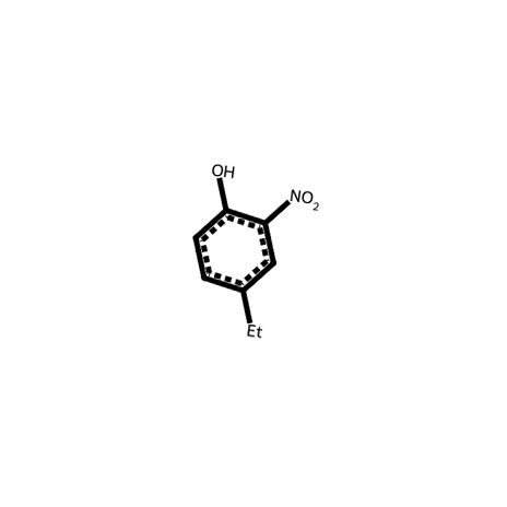 [CH2]Cc1ccc(O)c([N+](=O)[O-])c1